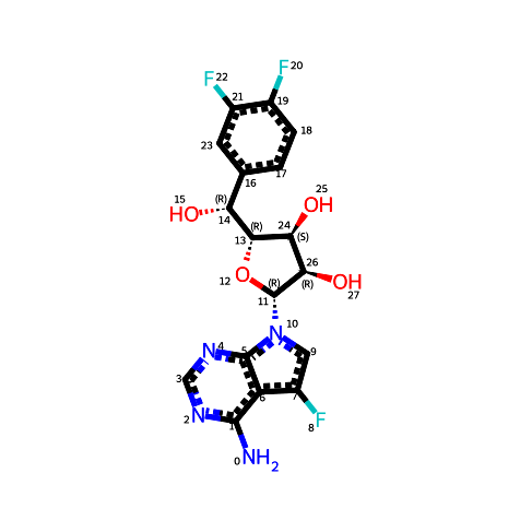 Nc1ncnc2c1c(F)cn2[C@@H]1O[C@H]([C@H](O)c2ccc(F)c(F)c2)[C@@H](O)[C@H]1O